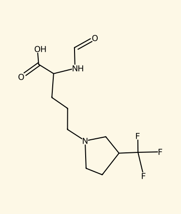 O=CNC(CCCN1CCC(C(F)(F)F)C1)C(=O)O